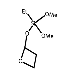 CC[Si](OC)(OC)OC1CCO1